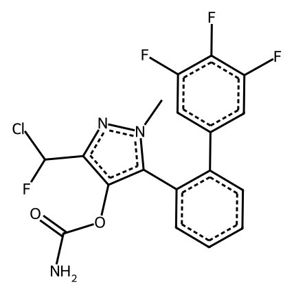 Cn1nc(C(F)Cl)c(OC(N)=O)c1-c1ccccc1-c1cc(F)c(F)c(F)c1